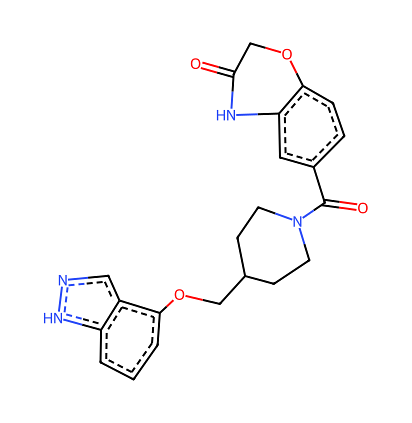 O=C1COc2ccc(C(=O)N3CCC(COc4cccc5[nH]ncc45)CC3)cc2N1